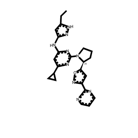 CCc1cc(Nc2cc(C3CC3)nc(N3CCC[C@H]3c3cc(-c4ncccn4)no3)n2)n[nH]1